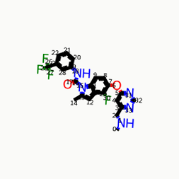 CNCc1cc(Oc2ccc3c(cc(C)n3C(=O)Nc3cccc(C(F)(F)F)c3)c2F)ncn1